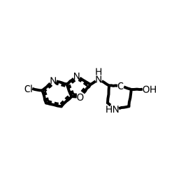 OC1CNCC(Nc2nc3nc(Cl)ccc3o2)C1